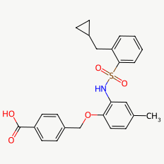 Cc1ccc(OCc2ccc(C(=O)O)cc2)c(NS(=O)(=O)c2ccccc2CC2CC2)c1